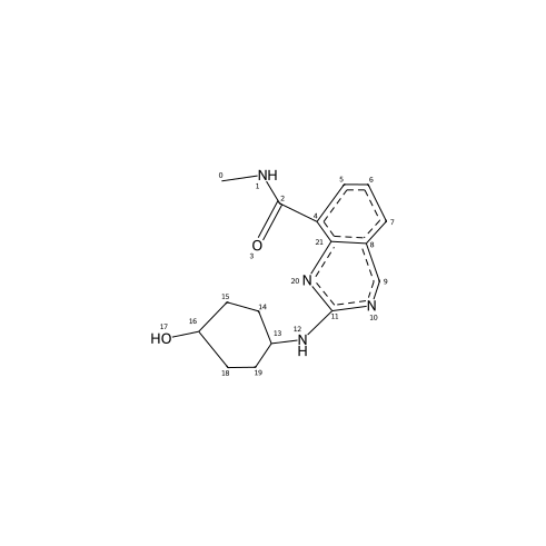 CNC(=O)c1cccc2cnc(NC3CCC(O)CC3)nc12